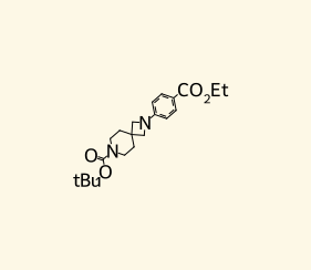 CCOC(=O)c1ccc(N2CC3(CCN(C(=O)OC(C)(C)C)CC3)C2)cc1